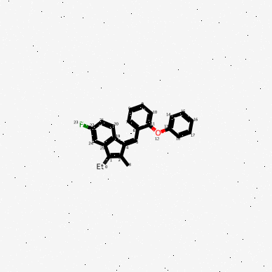 CCC1=C(C)/C(=C/c2ccccc2Oc2ccccc2)c2ccc(F)cc21